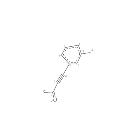 CC(=O)C#Cc1cccc(Cl)c1